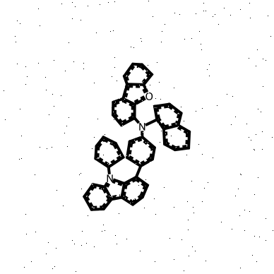 c1ccc(-n2c3ccccc3c3cccc(-c4ccc(N(c5cccc6ccccc56)c5cccc6c5oc5ccccc56)cc4)c32)cc1